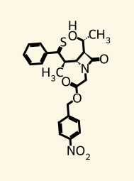 C[C@@H](O)[C@H]1C(=O)N(CC(=O)OCc2ccc([N+](=O)[O-])cc2)[C@@H]1[C@@H](C)C(=S)c1ccccc1